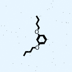 CCCCOc1c[c]cc(OCCCC)c1